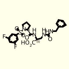 O=C(NCc1ccccc1)NC[C@H](NC(=O)[C@@H]1CCCN1S(=O)(=O)c1cc(F)cc(F)c1)C(=O)O